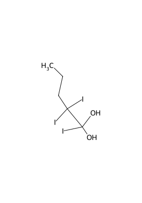 CCCC(I)(I)C(O)(O)I